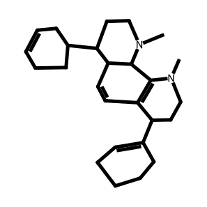 CN1CCC(C2=CCCCC2)C2=C1C1C(C=C2)C(C2CC=CCC2)CCN1C